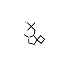 CN1CCC2(CCC2)C1CC(C)(C)S